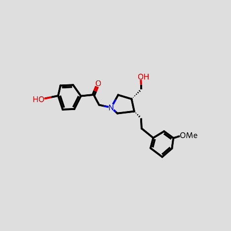 COc1cccc(CC[C@@H]2CN(CC(=O)c3ccc(O)cc3)C[C@@H]2CO)c1